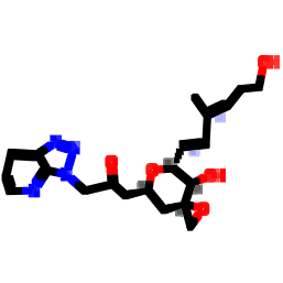 CC(/C=C/[C@H]1O[C@H](CC(=O)Cn2nnc3cccnc32)C[C@@]2(CO2)[C@@H]1O)=C\CCO